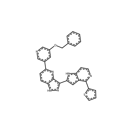 c1ccc(COc2cncc(-c3ccc4[nH]nc(-c5cc6c(-c7cccs7)nccc6[nH]5)c4n3)c2)cc1